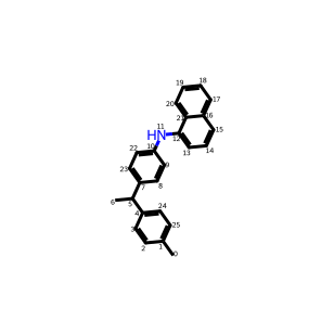 Cc1ccc(C(C)c2ccc(Nc3cccc4ccccc34)cc2)cc1